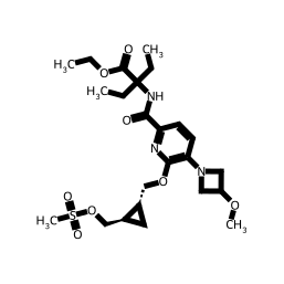 CCOC(=O)C(CC)(CC)NC(=O)c1ccc(N2CC(OC)C2)c(OC[C@@H]2C[C@H]2COS(C)(=O)=O)n1